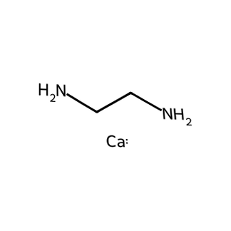 NCCN.[Ca]